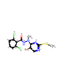 CSc1ncc(Br)c(N(C)NC(=O)c2c(Cl)cccc2Cl)n1